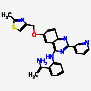 C=C(N)c1ccccc1Nc1nc(-c2cccnc2)nc2ccc(OCc3csc(C)n3)cc12